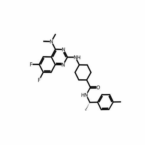 Cc1ccc([C@H](C)NC(=O)C2CCC(Nc3nc(N(C)C)c4cc(F)c(F)cc4n3)CC2)cc1